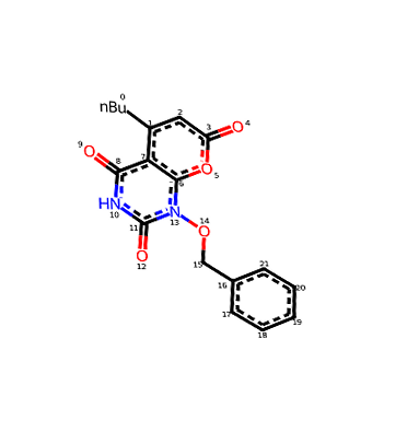 CCCCc1cc(=O)oc2c1c(=O)[nH]c(=O)n2OCc1ccccc1